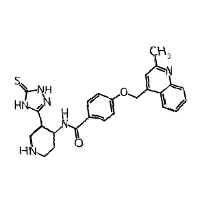 Cc1cc(COc2ccc(C(=O)NC3CCNCC3c3n[nH]c(=S)[nH]3)cc2)c2ccccc2n1